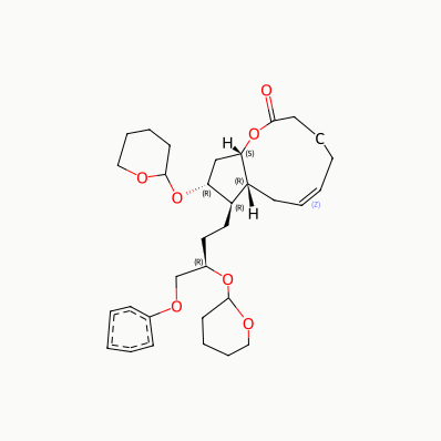 O=C1CCC/C=C\C[C@@H]2[C@@H](CC[C@H](COc3ccccc3)OC3CCCCO3)[C@H](OC3CCCCO3)C[C@@H]2O1